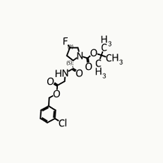 CC(C)(C)OC(=O)N1C[C@H](F)C[C@H]1C(=O)NCC(=O)OCc1cccc(Cl)c1